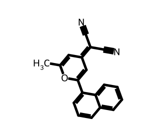 CC1=CC(=C(C#N)C#N)C=C(c2cccc3ccccc23)O1